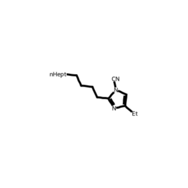 CCCCCCCCCCCc1nc(CC)cn1C#N